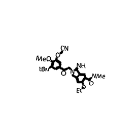 CCOc1cc2c(cc1C(=O)NC)C(=N)N(CC(=O)c1cc(OCC#N)c(OC)c(C(C)(C)C)c1)C2